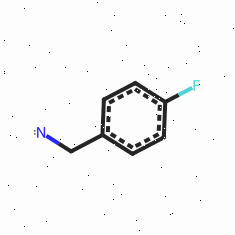 [N]Cc1ccc(F)cc1